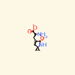 COC(=O)[C@@H](N)C[C@@H]1CC2(CC2)NC1=O